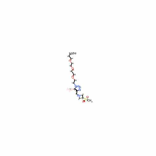 Bc1c(CN2CC(S(C)(=O)=O)C2)nnn1CCOCCOCCOCCNC